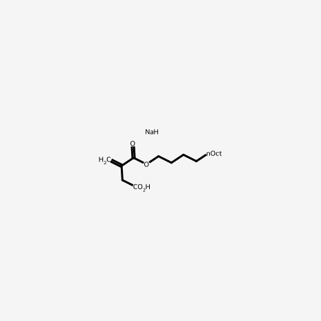 C=C(CC(=O)O)C(=O)OCCCCCCCCCCCC.[NaH]